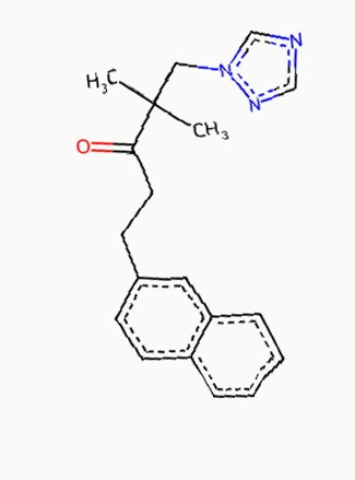 CC(C)(Cn1cncn1)C(=O)CCc1ccc2ccccc2c1